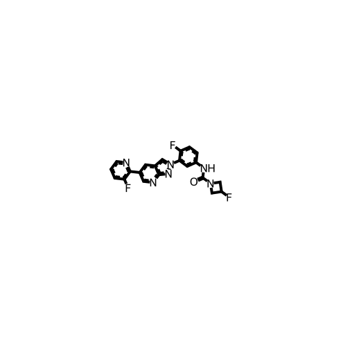 O=C(Nc1ccc(F)c(-n2cc3cc(-c4ncccc4F)cnc3n2)c1)N1CC(F)C1